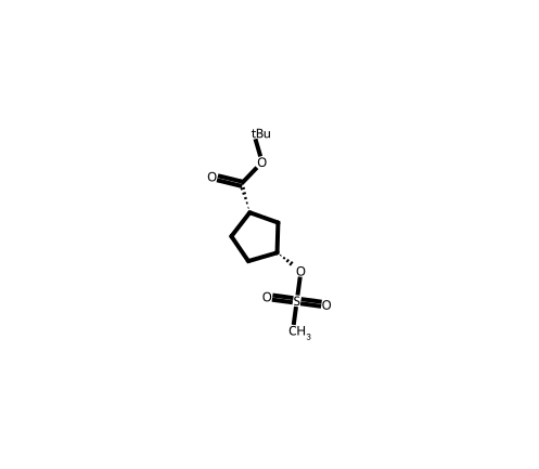 CC(C)(C)OC(=O)[C@H]1CC[C@@H](OS(C)(=O)=O)C1